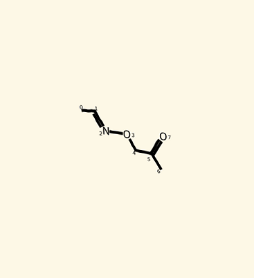 CC=NOCC(C)=O